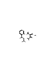 CCC(Cl)CC(C)c1ccccc1NC(=O)c1cn(C)nc1C(F)F